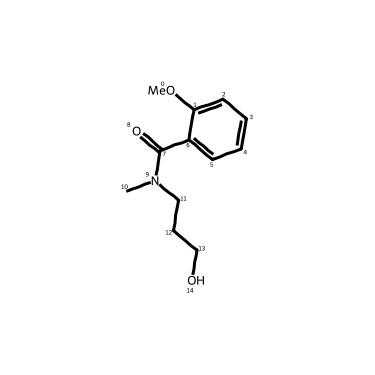 COc1ccccc1C(=O)N(C)CCCO